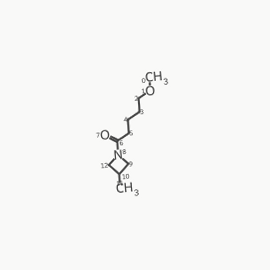 COCCCCC(=O)N1CC(C)C1